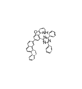 C1=Cc2oc3cc(-c4ccc5ccc6c7ccccc7ccc6c5c4)cc(-c4nc(-c5ccccc5)nc(-c5ccccc5)n4)c3c2NC1